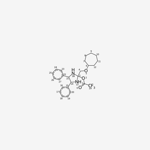 O=C(OC1(COC2CCCCCC2)NC(c2ccccc2)C(c2ccccc2)N1)C(F)(F)F